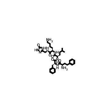 CC(C)CC[C@@H](NC(=O)[C@@H](Cc1ccccc1)NC(=O)[C@H](N)CCc1ccccc1)C(=O)N[C@H](CCCCN)C(=O)NCc1n[nH]c(=O)[nH]1